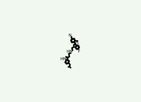 CC(C)Cc1ccc2[nH]cc(CCCNCCCCC3(c4ccc(F)cc4)OCc4cc(C#N)ccc43)c2c1